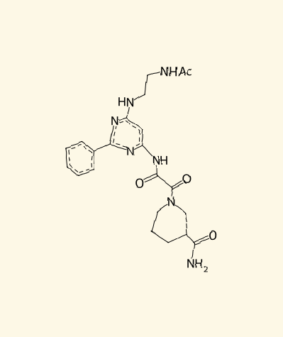 CC(=O)NCCNc1cc(NC(=O)C(=O)N2CCCC(C(N)=O)C2)nc(-c2ccccc2)n1